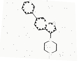 c1cncc(-c2ccc3c(N4CCNCC4)cnn3c2)c1